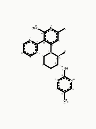 Cc1cc(N2CCC[C@@H](Nc3ncc(C(F)(F)F)cn3)[C@@H]2C)c(-c2ncccn2)c(C=O)n1